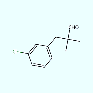 CC(C)(C=O)Cc1cccc(Cl)c1